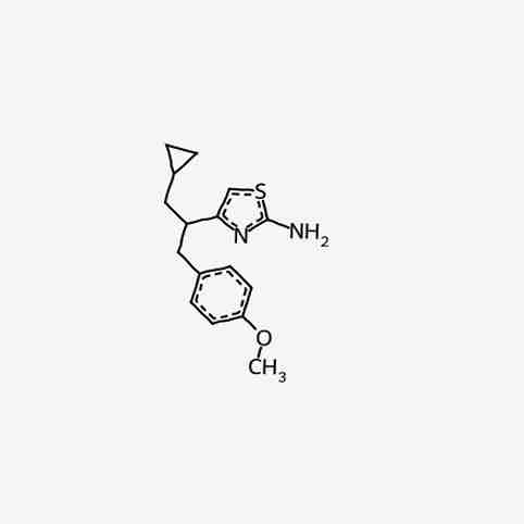 COc1ccc(CC(CC2CC2)c2csc(N)n2)cc1